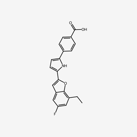 CCc1cc(F)cc2cc(-c3ccc(-c4ccc(C(=O)O)cc4)[nH]3)oc12